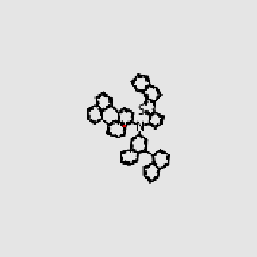 c1ccc(-c2cccc3cccc(-c4ccc(N(c5cc(-c6cccc7ccccc67)c6ccccc6c5)c5cccc6c5sc5c7ccccc7ccc65)cc4)c23)cc1